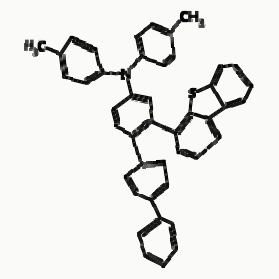 Cc1ccc(N(c2ccc(C)cc2)c2ccc(-c3ccc(-c4ccccc4)cc3)c(-c3cccc4c3sc3ccccc34)c2)cc1